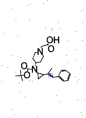 C/C(=C\c1ccccc1)C1CC1N(C(=O)OC(C)(C)C)C1CCN(CC(=O)O)CC1